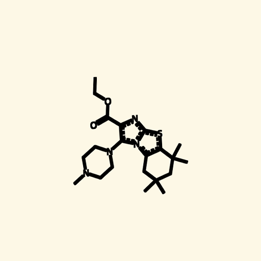 CCOC(=O)c1nc2sc3c(n2c1N1CCN(C)CC1)CC(C)(C)CC3(C)C